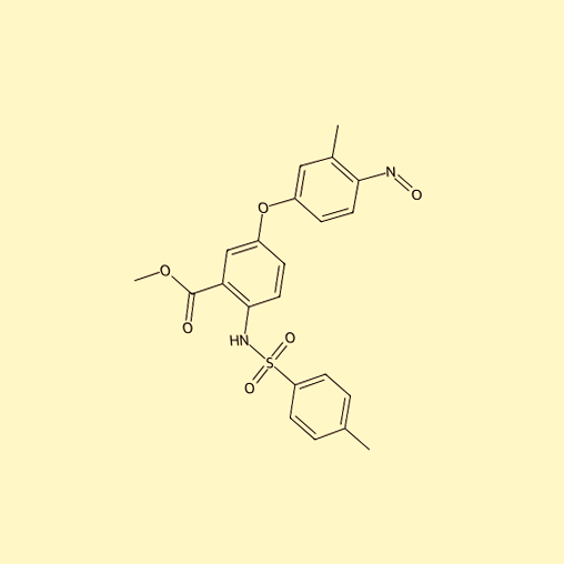 COC(=O)c1cc(Oc2ccc(N=O)c(C)c2)ccc1NS(=O)(=O)c1ccc(C)cc1